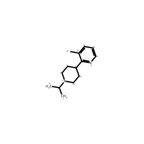 CC(C)N1CCC(c2ncccc2I)CC1